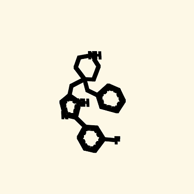 Fc1cccc(-c2ncc(CC3(Cc4ccccc4)CCNCC3)[nH]2)c1